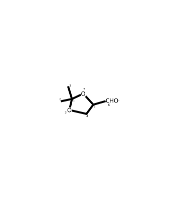 CC1(C)OCC([C]=O)O1